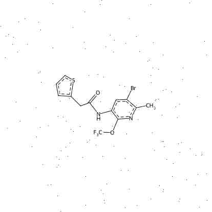 Cc1nc(OC(F)(F)F)c(NC(=O)Cc2cccs2)cc1Br